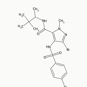 CC(NC(=O)c1c(NS(=O)(=O)c2ccc(Cl)cc2)c(Br)nn1C)C(C)(C)C